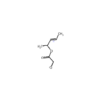 C/C=C/C(C)OC(=O)C[O]